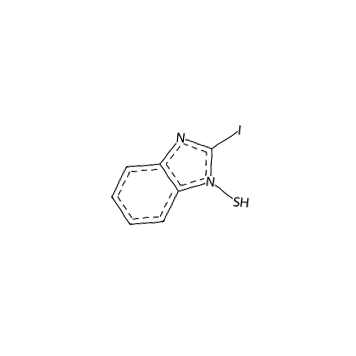 Sn1c(I)nc2ccccc21